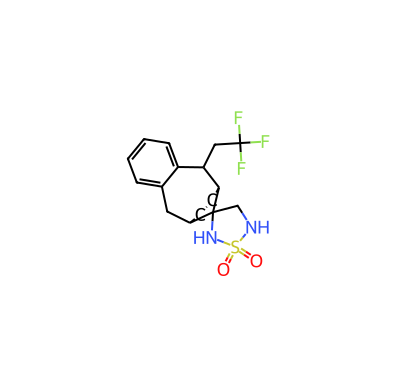 O=S1(=O)NCC2(N1)C1CCC2C(CC(F)(F)F)c2ccccc2C1